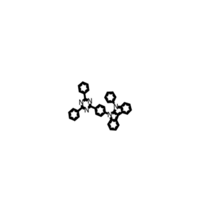 c1ccc(-c2nc(-c3ccccc3)nc(-c3ccc(-n4c5ccccc5c5c6ccccc6n(-c6ccccc6)c54)cc3)n2)cc1